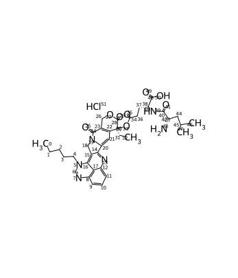 CCCCCN1C=Nc2cccc3nc4c(c1c23)Cn1c-4cc2c(c1=O)COC(=O)[C@@]2(CC)OC(=O)CC[C@@H](NC(=O)[C@@H](N)CC(C)C)C(=O)O.Cl